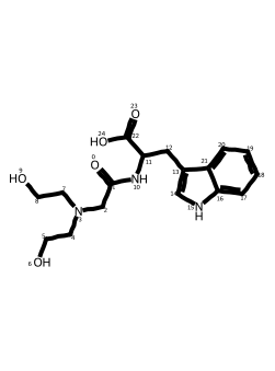 O=C(CN(CCO)CCO)NC(Cc1c[nH]c2ccccc12)C(=O)O